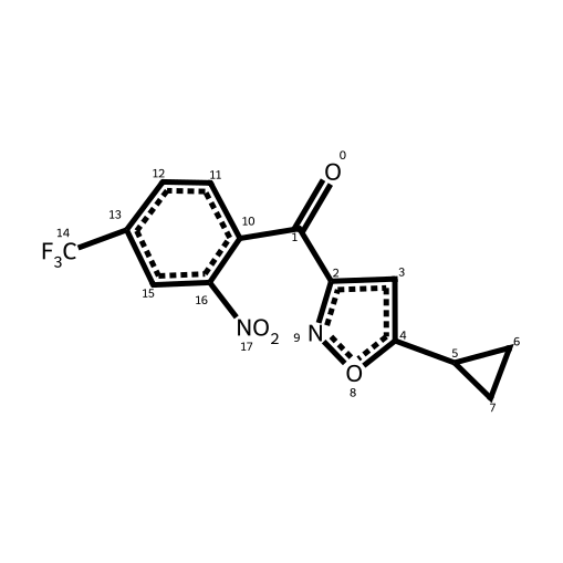 O=C(c1cc(C2CC2)on1)c1ccc(C(F)(F)F)cc1[N+](=O)[O-]